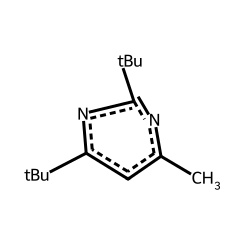 Cc1cc(C(C)(C)C)nc(C(C)(C)C)n1